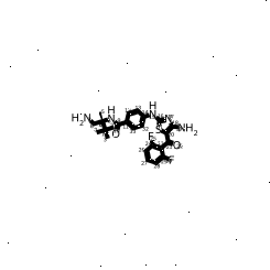 CC(C)(C)[C@](C)(CN)NC(=O)c1ccc(Nc2nc(N)c(C(=O)c3c(F)cccc3F)s2)cc1